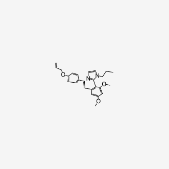 C=CCOc1ccc(C=Cc2cc(OC)cc(OC)c2-c2nccn2CCC)cc1